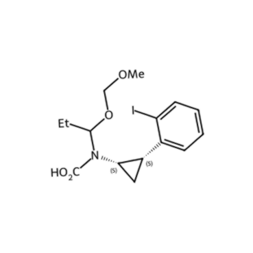 CCC(OCOC)N(C(=O)O)[C@H]1C[C@H]1c1ccccc1I